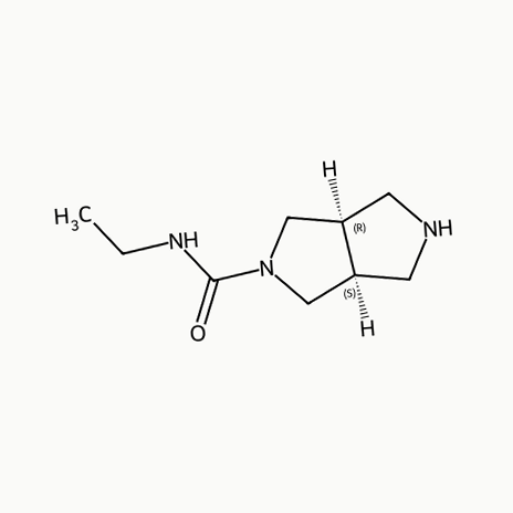 CCNC(=O)N1C[C@H]2CNC[C@H]2C1